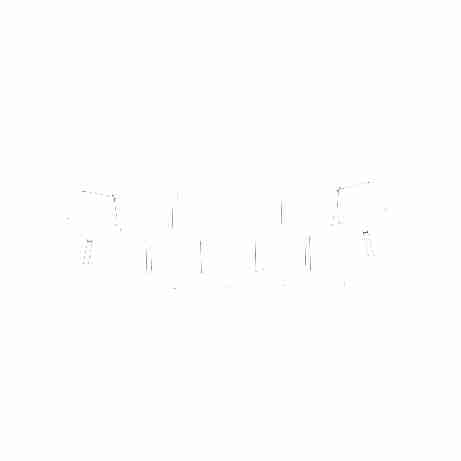 C=C1C=CC(=O)N1c1c(C)cc(Cc2cc(C)c(N3C(=O)C=CC3=O)c(CC)c2)cc1CC